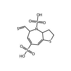 O=S(=O)(O)C1=CC(C=S)N(S(=O)(=O)O)C2CCSC2=C1